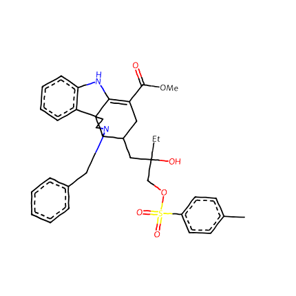 CCC(O)(COS(=O)(=O)c1ccc(C)cc1)CC1CC(C(=O)OC)=C2Nc3ccccc3C23CCN(Cc2ccccc2)C13